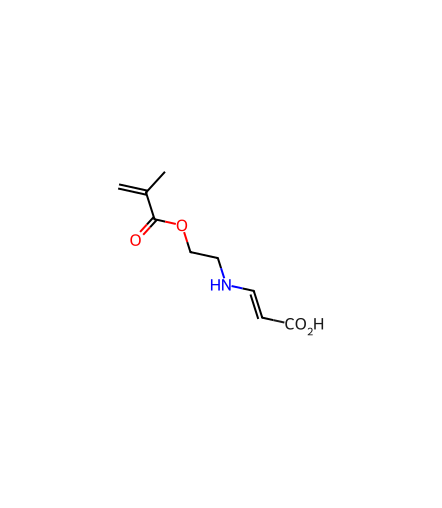 C=C(C)C(=O)OCCNC=CC(=O)O